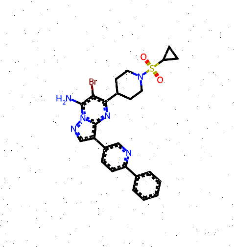 Nc1c(Br)c(C2CCN(S(=O)(=O)C3CC3)CC2)nc2c(-c3ccc(-c4ccccc4)nc3)cnn12